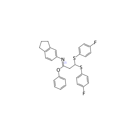 Fc1ccc(SC(C/C(=N/c2ccc3c(c2)CCC3)Oc2ccccc2)Sc2ccc(F)cc2)cc1